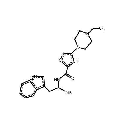 CCCCC(Cc1c[nH]c2ccccc12)NC(=O)c1nnc(N2CCN(CC(F)(F)F)CC2)[nH]1